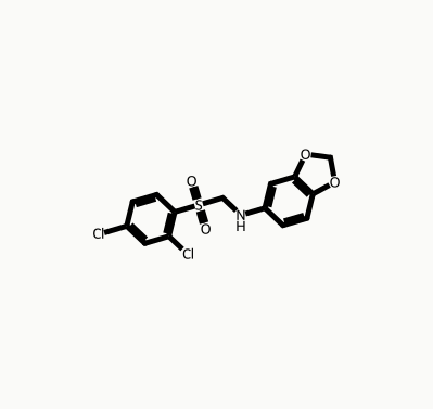 O=S(=O)(CNc1ccc2c(c1)OCO2)c1ccc(Cl)cc1Cl